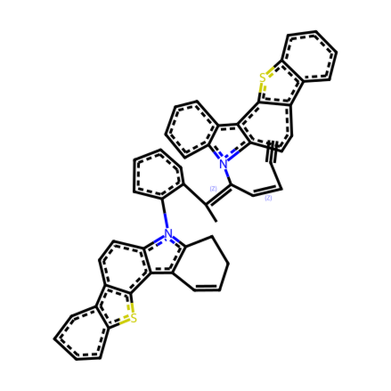 C#C/C=C\C(=C(/C)c1ccccc1-n1c2c(c3c4sc5ccccc5c4ccc31)C=CCC2)n1c2ccccc2c2c3sc4ccccc4c3ccc21